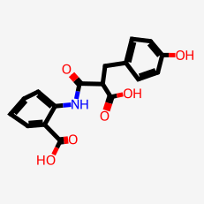 O=C(O)c1ccccc1NC(=O)C(Cc1ccc(O)cc1)C(=O)O